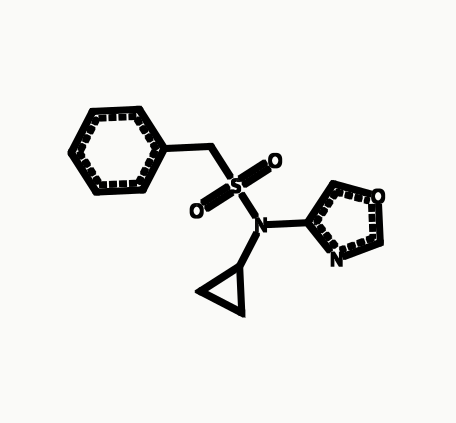 O=S(=O)(Cc1ccccc1)N(c1cocn1)C1CC1